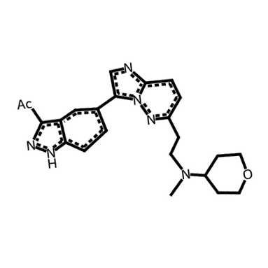 CC(=O)c1n[nH]c2ccc(-c3cnc4ccc(CCN(C)C5CCOCC5)nn34)cc12